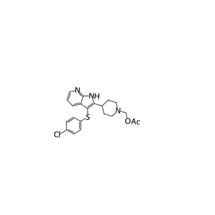 CC(=O)OCN1CCC(c2[nH]c3ncccc3c2Sc2ccc(Cl)cc2)CC1